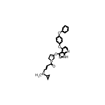 CN(CC=CC(=O)N1CC[C@@H](Oc2n[nH]c3nccc(Oc4ccc(Oc5ccccc5)cc4)c23)C1)C1CC1